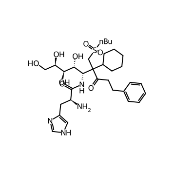 CCCCS(=O)(=O)CC(C(=O)CCc1ccccc1)(C1CCCCC1)[C@H](NC(=O)[C@@H](N)Cc1c[nH]cn1)[C@@H](O)[C@@H](O)[C@H](O)CO